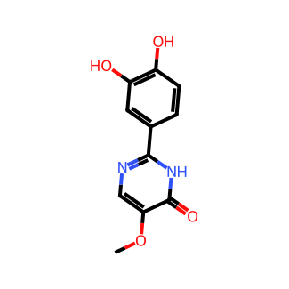 COc1cnc(-c2ccc(O)c(O)c2)[nH]c1=O